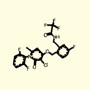 Cc1cc(OCc2ccc(F)cc2CNC(=O)C(F)(F)F)c(Cl)c(=O)n1-c1c(F)cccc1F